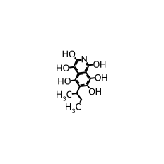 CCC(C)c1c(O)c(O)c2c(O)nc(O)c(O)c2c1O